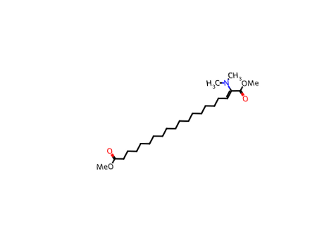 COC(=O)CCCCCCCCCCCCCCCCC=C(C(=O)OC)N(C)C